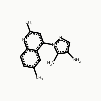 Cc1ccc2nc(C)cc(-n3ncc(N)c3N)c2c1